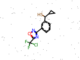 FC(F)(Cl)c1nc(-c2cccc(C(S)C3CC3)c2)no1